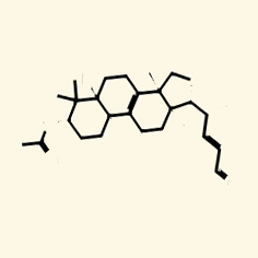 CC(=O)O[C@H]1CC[C@]2(C)C3=C(CC[C@H]2C1(C)C)[C@]1(C)CC[C@H]([C@H](C)/C=C/C=O)[C@@]1(C)CC3